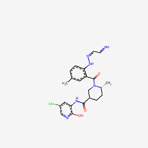 Cc1ccc(N/N=C\C=N)c(C(=O)N2CC(C(=O)Nc3cc(Cl)cnc3O)CC[C@H]2C)c1